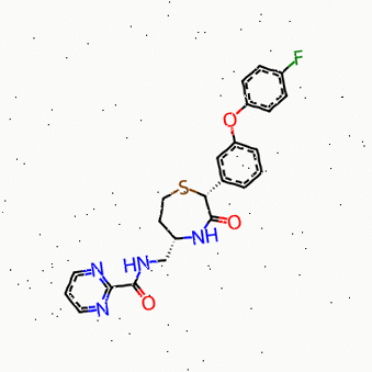 O=C(NC[C@@H]1CCS[C@H](c2cccc(Oc3ccc(F)cc3)c2)C(=O)N1)c1ncccn1